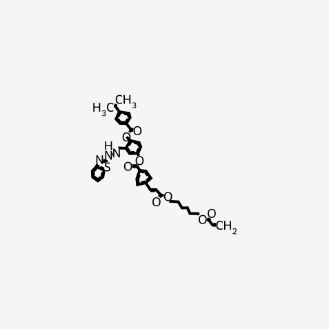 C=CC(=O)OCCCCCCOC(=O)/C=C/c1ccc(C(=O)Oc2ccc(OC(=O)c3ccc(C(C)C)cc3)c(/C=N/Nc3nc4ccccc4s3)c2)cc1